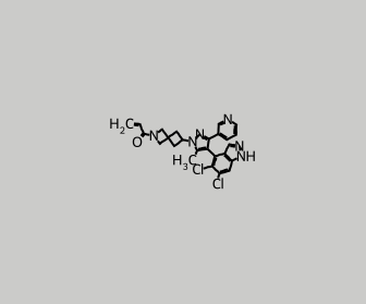 C=CC(=O)N1CC2(CC(n3nc(-c4cccnc4)c(-c4c(Cl)c(Cl)cc5[nH]ncc45)c3C)C2)C1